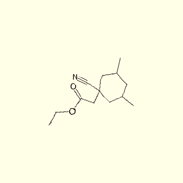 CCOC(=O)CC1(C#N)CC(C)CC(C)C1